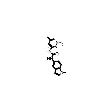 C=C(C)/C=C(/NC(=O)Nc1ccc2c(ccn2C)c1)SN